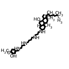 COc1ccc(CNCCCNCCCCNCCCN[C@H]2CC[C@]3(C)C4CC[C@@]5(C)C(CC[C@@H]5[C@H](C)CCCC(C)C)C4[C@H](O)C[C@@H]3C2)cc1O